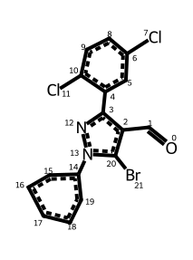 O=Cc1c(-c2cc(Cl)ccc2Cl)nn(-c2ccccc2)c1Br